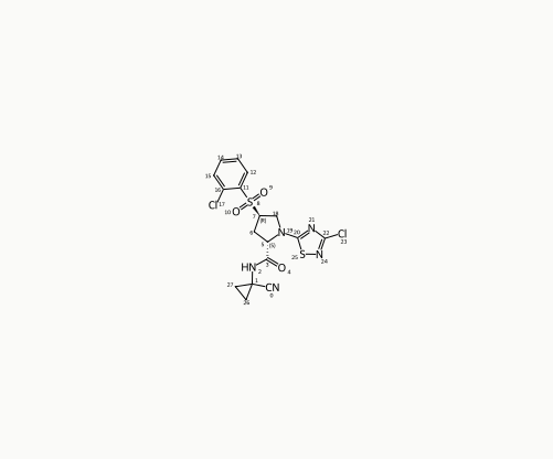 N#CC1(NC(=O)[C@@H]2C[C@@H](S(=O)(=O)c3ccccc3Cl)CN2c2nc(Cl)ns2)CC1